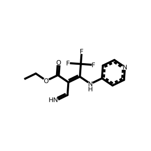 CCOC(=O)/C(C=N)=C(/Nc1ccncc1)C(F)(F)F